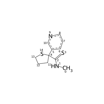 CNC(=S)C1(c2cccnc2)CCCS1